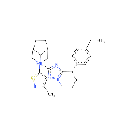 Cc1cc(N2CC3CCC(C2)C3Nc2nc3n(n2)CCCC3c2ccc(CC(F)(F)F)cc2)sn1